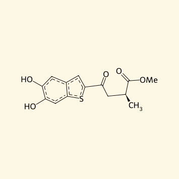 COC(=O)[C@@H](C)CC(=O)c1cc2cc(O)c(O)cc2s1